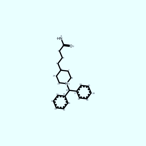 [NH]C(=O)CCCC1CCN(C(c2ccccc2)c2ccccc2)CC1